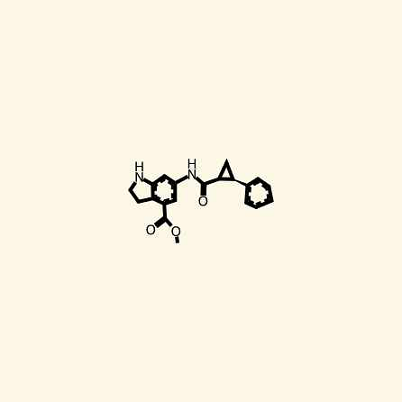 COC(=O)c1cc(NC(=O)C2C[C@H]2c2ccccc2)cc2c1CCN2